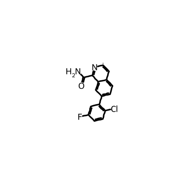 NC(=O)c1n[c]cc2ccc(-c3cc(F)ccc3Cl)cc12